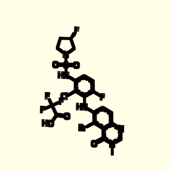 Cn1cnc2ccc(Nc3c(F)ccc(NS(=O)(=O)N4CC[C@@H](F)C4)c3Cl)c(Br)c2c1=O.O=C(O)C(F)(F)F